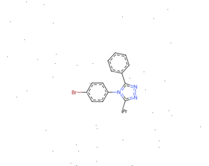 CC(C)c1nnc(-c2ccccc2)n1-c1ccc(Br)cc1